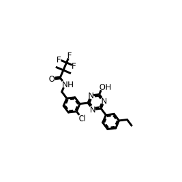 CCc1cccc(-c2nc(O)nc(-c3cc(CNC(=O)C(C)(C)C(F)(F)F)ccc3Cl)n2)c1